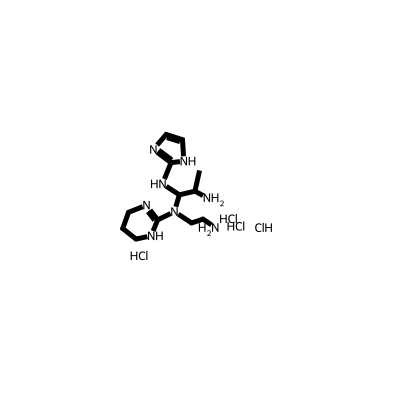 CC(N)C(Nc1ncc[nH]1)N(CCN)C1=NCCCN1.Cl.Cl.Cl.Cl